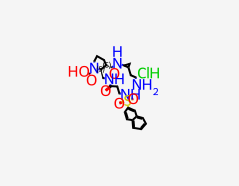 Cl.NCCC1CC1NC(=O)[C@H]1CCCN(C(=O)O)[C@@H]1CNC(=O)CCNS(=O)(=O)c1ccc2ccccc2c1